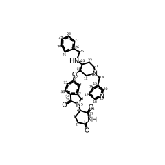 O=C1CCC(N2Cc3cc(OC4CN(Cc5cccnc5)CCC4NCc4ccccc4)ccc3C2=O)C(=O)N1